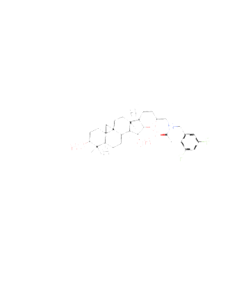 CC(=O)N(Cc1cc(F)cc(F)c1)CC1C[C@@H](C)[C@H]2C(O1)[C@H](O)[C@@]1(C)C3CC[C@H]4C(C)(C)C(O)CCC45CC35CCC21C